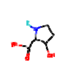 O=C(O)C1C(O)CCN1F